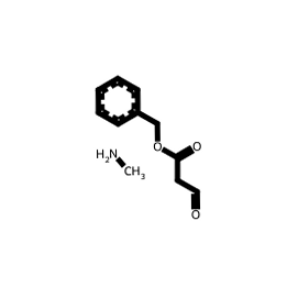 CN.O=CCC(=O)OCc1ccccc1